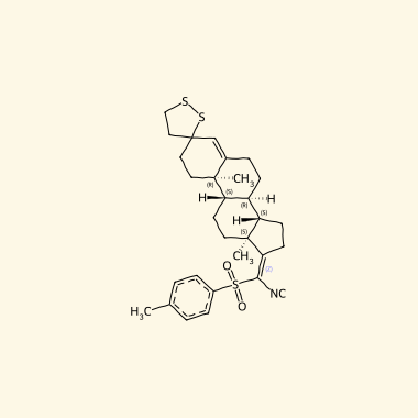 [C-]#[N+]/C(=C1\CC[C@H]2[C@@H]3CCC4=CC5(CCSS5)CC[C@]4(C)[C@H]3CC[C@]12C)S(=O)(=O)c1ccc(C)cc1